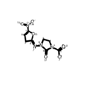 O=C(Cl)N1CCN(N=C2CC=C([N+](=O)[O-])O2)C1=O